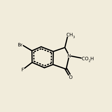 CC1c2cc(Br)c(F)cc2C(=O)N1C(=O)O